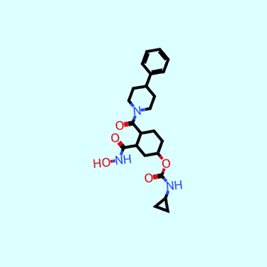 O=C(NC1CC1)OC1CCC(C(=O)N2CCC(c3ccccc3)CC2)C(C(=O)NO)C1